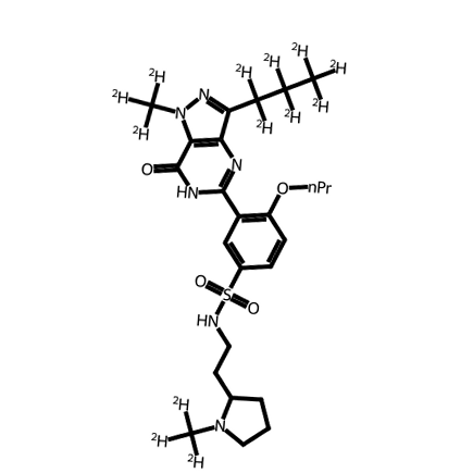 [2H]C([2H])([2H])N1CCCC1CCNS(=O)(=O)c1ccc(OCCC)c(-c2nc3c(C([2H])([2H])C([2H])([2H])C([2H])([2H])[2H])nn(C([2H])([2H])[2H])c3c(=O)[nH]2)c1